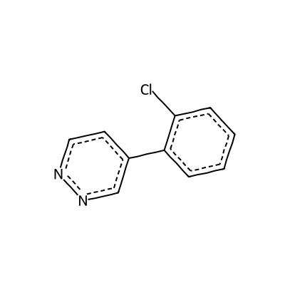 Clc1ccccc1-c1ccnnc1